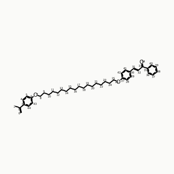 C=C(C)c1ccc(OCCCCCCCCCCCCCCCCCCOc2ccc(C=CC(=O)c3ccccc3)cc2)cc1